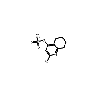 CC(=O)c1cc(OS(=O)(=O)C(F)(F)F)c2c(n1)CCCC2